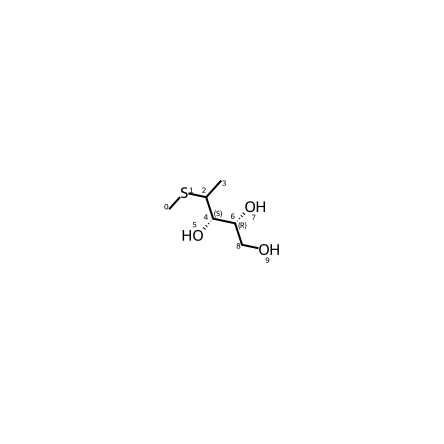 CSC(C)[C@@H](O)[C@H](O)CO